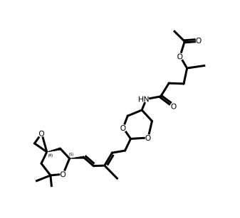 CC(=O)OC(C)CCC(=O)NC1COC(CC=C(C)C=C[C@@H]2C[C@]3(CO3)CC(C)(C)O2)OC1